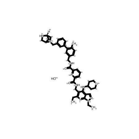 CCc1nc2c(cnn2CC)c(NC2CCOCC2)c1CNC(=O)c1cccc(C(=O)NCc2ccc(C)c(-c3cccc(CN4C[C@@H]5CC4CN5)c3)c2)n1.Cl